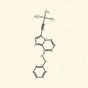 C[Si](C)(C)C#Cc1cnc2c(OCc3ccccc3)cccn12